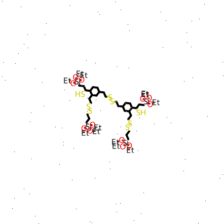 CCO[Si](CCCSSCCC1CC(CCSSCCC2CCC(C(S)CC[Si](OCC)(OCC)OCC)C(CCSSCCC[Si](OCC)(OCC)OCC)C2)CCC1C(S)CC[Si](OCC)(OCC)OCC)(OCC)OCC